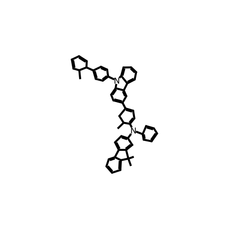 CC1CC(c2ccc3c(c2)c2ccccc2n3-c2ccc(C3C=CC=CC3C)cc2)=CC=C1N(c1ccccc1)c1ccc2c(c1)C(C)(C)c1ccccc1-2